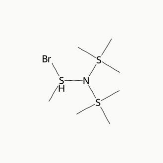 C[SH](Br)N(S(C)(C)C)S(C)(C)C